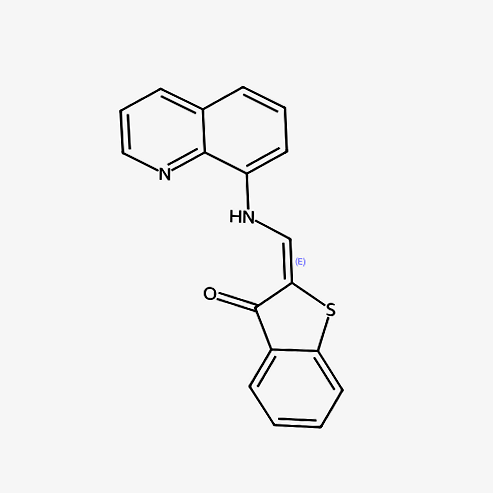 O=C1/C(=C\Nc2cccc3cccnc23)Sc2ccccc21